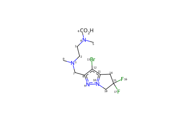 CN(CCN(C)C(=O)O)Cc1nn2c(c1Br)CC(F)(F)C2